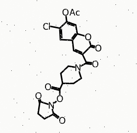 CC(=O)Oc1cc2oc(=O)c(C(=O)N3CCC(C(=O)ON4C(=O)CCC4=O)CC3)cc2cc1Cl